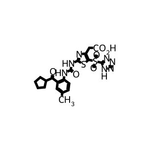 Cc1ccc(NC(=O)Nc2nc(CC(=O)O)c(S(=O)(=O)c3nnn[nH]3)s2)c(C(=O)C2CCCC2)c1